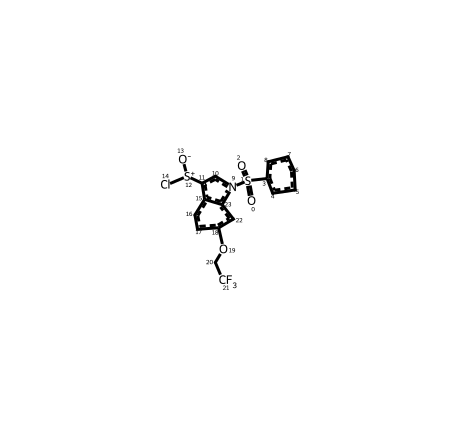 O=S(=O)(c1ccccc1)n1cc([S+]([O-])Cl)c2ccc(OCC(F)(F)F)cc21